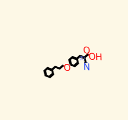 N#C/C(=C\c1ccc(OCCCc2ccccc2)cc1)C(=O)O